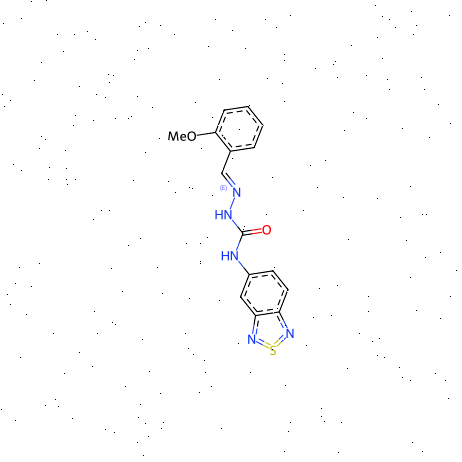 COc1ccccc1/C=N/NC(=O)Nc1ccc2nsnc2c1